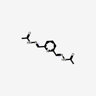 CC(=O)N/N=C/c1cccc(/C=N/NC(C)=O)n1